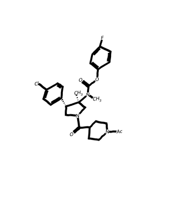 CC(=O)N1CCC(C(=O)N2C[C@H](c3ccc(Cl)cc3)[C@@](C)(N(C)C(=O)Oc3ccc(F)cc3)C2)CC1